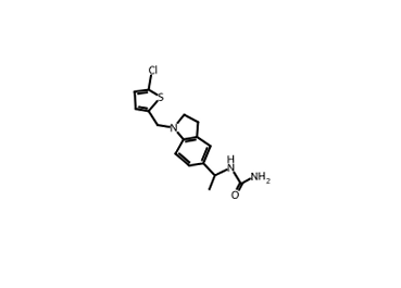 CC(NC(N)=O)c1ccc2c(c1)CCN2Cc1ccc(Cl)s1